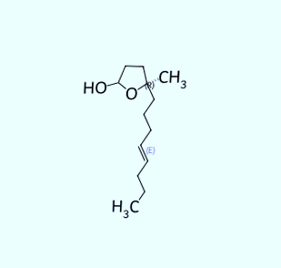 CCC/C=C/CCC[C@]1(C)CCC(O)O1